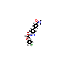 CN(C)C(=O)c1ccc(-c2ccc(NC(=O)C(C)(C)Oc3ccc(F)cc3)cc2)cc1